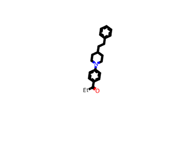 CCC(=O)c1ccc(N2CCC(CCc3ccccc3)CC2)cc1